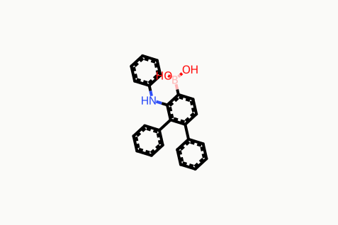 OB(O)c1ccc(-c2ccccc2)c(-c2ccccc2)c1Nc1ccccc1